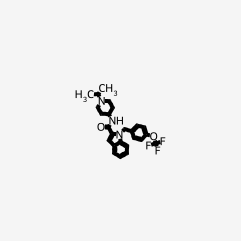 CC(C)N1CCC(NC(=O)c2cc3ccccc3n2Cc2ccc(OC(F)(F)F)cc2)CC1